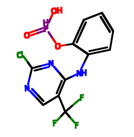 O=[PH](O)Oc1ccccc1Nc1nc(Cl)ncc1C(F)(F)F